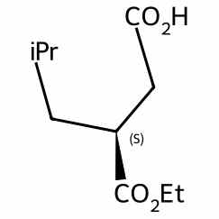 CCOC(=O)[C@H](CC(=O)O)CC(C)C